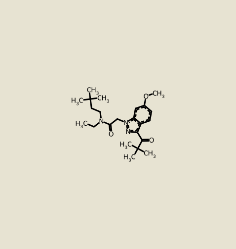 CCN(CCC(C)(C)C)C(=O)Cn1nc(C(=O)C(C)(C)C)c2ccc(OC)cc21